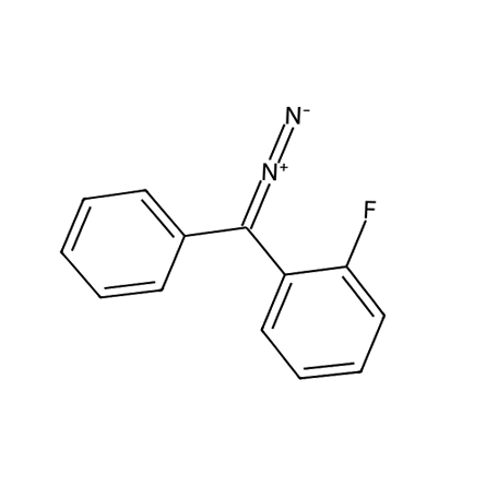 [N-]=[N+]=C(c1ccccc1)c1ccccc1F